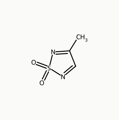 CC1=NS(=O)(=O)N=C1